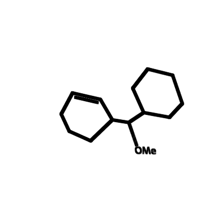 COC(C1C=CCCC1)C1CCCCC1